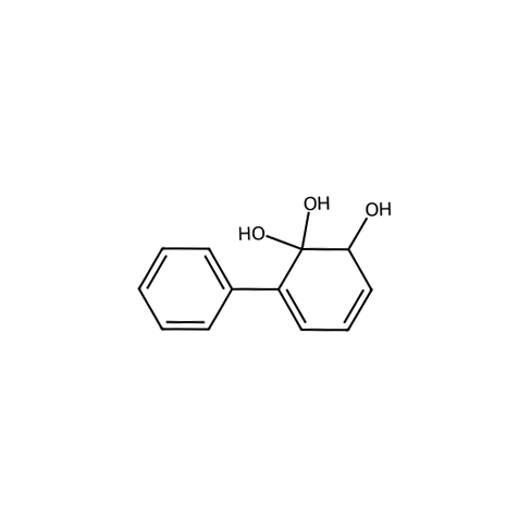 OC1C=CC=C(c2ccccc2)C1(O)O